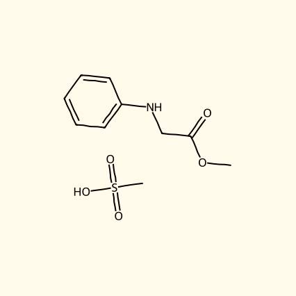 COC(=O)CNc1ccccc1.CS(=O)(=O)O